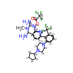 CN1C(N)c2ccc(-c3c(N4CCN(C5CCCC5)CC4)cccc3C(F)(F)F)nc2N(OC(=O)C(F)(F)F)C1N